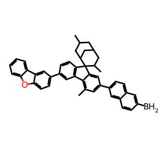 Bc1ccc2cc(-c3cc(C)c4c(c3)C3(c5ccc(-c6ccc7oc8ccccc8c7c6)cc5-4)C(C)CC4CC(C)CC3C4)ccc2c1